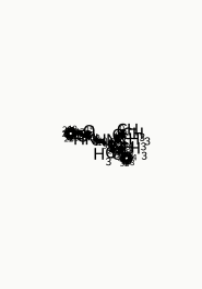 CC(C)(C)OC(=O)N[C@@H](CCCCNC(=O)OCc1ccccc1)C(=O)NC(C)(C)c1ccccc1